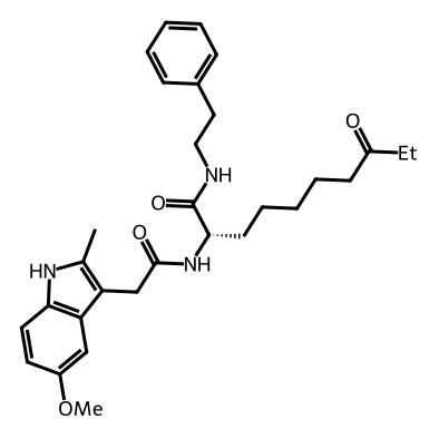 CCC(=O)CCCCC[C@H](NC(=O)Cc1c(C)[nH]c2ccc(OC)cc12)C(=O)NCCc1ccccc1